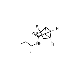 CC[C@@H](C)NC(=O)[C@@]12C3[C@H]1[C@H]2CC3(F)F